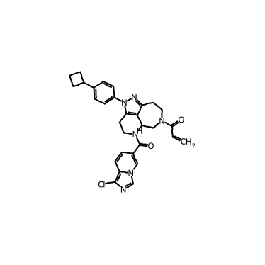 C=CC(=O)N1CCc2nn(-c3ccc(C4CCC4)cc3)c3c2[C@@H](C1)N(C(=O)c1ccc2c(Cl)ncn2c1)CC3